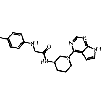 Cc1ccc(NCC(=O)N[C@@H]2CCCN(c3ncnc4[nH]ccc34)C2)cc1